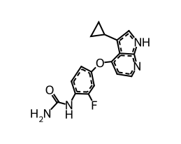 NC(=O)Nc1ccc(Oc2ccnc3[nH]cc(C4CC4)c23)cc1F